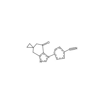 N#Cc1ccc(-n2cnc3c2C(=O)CC2(CC2)C3)cc1